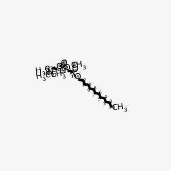 CCCCCCCCCCCCCCOC[C@H](COP(=O)([O-])OCC[N+](C)(C)C)OC